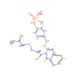 CC(=O)NCCNC(=O)c1nc2ccccc2nc1OCc1ccc(OP(=O)(O)O)cn1